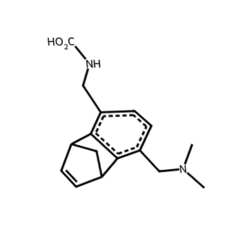 CN(C)Cc1ccc(CNC(=O)O)c2c1C1C=CC2C1